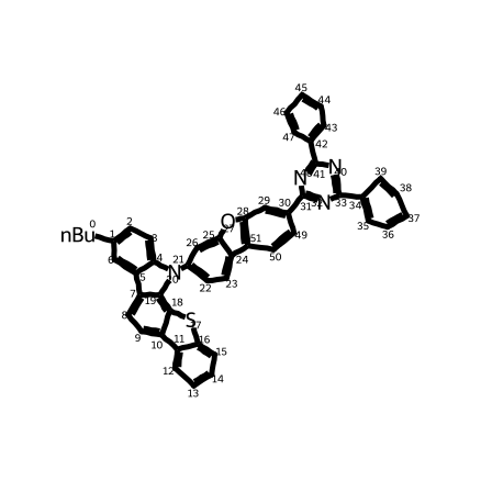 CCCCc1ccc2c(c1)c1ccc3c4ccccc4sc3c1n2-c1ccc2c(c1)oc1cc(-c3nc(-c4ccccc4)nc(-c4ccccc4)n3)ccc12